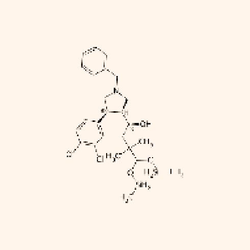 C[SiH2]OC(O[SiH2]C)C(C)(C)C[C@H](O)[C@@H]1CN(Cc2ccccc2)C[C@@H]1c1ccc(Cl)c(Cl)c1